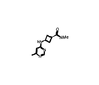 CNC(=O)[C@H]1C[C@@H](Nc2cc(C)ncn2)C1